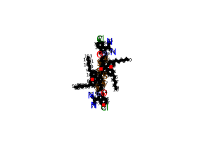 CCCCCCc1ccc(C2(c3ccc(CCCCCC)cc3)c3c(sc4cc(/C=C5\C(=O)c6ccc(Cl)cc6C5=C(C#N)C#N)sc34)-c3sc4c5c(sc4c32)-c2sc3cc(/C=C4\C(=O)c6ccc(Cl)cc6C4=C(C#N)C#N)sc3c2C5(c2ccc(CCCCCC)cc2)c2ccc(CCCCCC)cc2)cc1